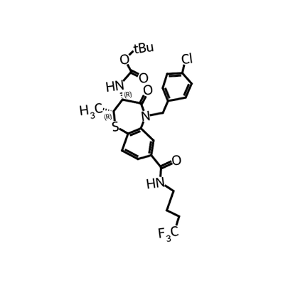 C[C@H]1Sc2ccc(C(=O)NCCCC(F)(F)F)cc2N(Cc2ccc(Cl)cc2)C(=O)[C@H]1NC(=O)OC(C)(C)C